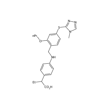 CCCOc1cc(Sc2nncn2C)ccc1CNc1ccc(C(CC)C(=O)O)cc1